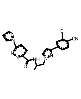 CC(Cn1ccc(-c2ccc(C#N)c(Cl)c2)n1)NC(=O)c1ccc(-n2cccn2)nn1